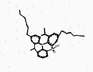 CCCCCCc1ccc(P(c2ccc(CCCCCC)cc2C(C)C)c2ccccc2S(=O)(=O)O)c(C(C)C)c1